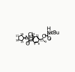 C[C@H](OC(=O)NC(C)(C)C)c1ccc(C(=O)NC2CCCC2)c(Cl)c1